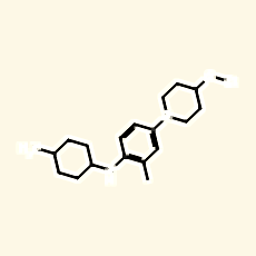 CCOC1CCN(c2ccc(NC3CCC(N)CC3)c(C)c2)CC1